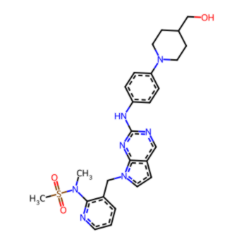 CN(c1ncccc1Cn1ccc2cnc(Nc3ccc(N4CCC(CO)CC4)cc3)nc21)S(C)(=O)=O